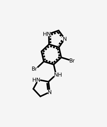 Brc1cc2[nH]cnc2c(Br)c1NC1=NCCN1